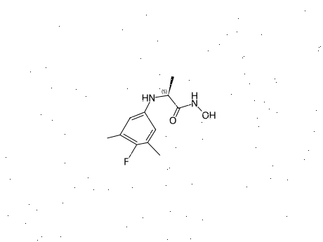 Cc1cc(N[C@@H](C)C(=O)NO)cc(C)c1F